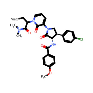 COCC(C(=O)N(C)C)n1cccc(N2C[C@@H](c3ccc(Cl)cc3)[C@H](NC(=O)c3ccc(OC(F)(F)F)cc3)C2=O)c1=O